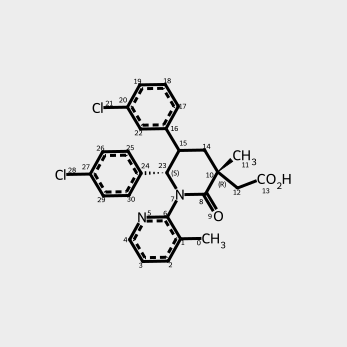 Cc1cccnc1N1C(=O)[C@@](C)(CC(=O)O)CC(c2cccc(Cl)c2)[C@H]1c1ccc(Cl)cc1